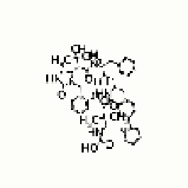 COc1ccccc1CN1C(=O)NCC1C(C(=O)NC(Cc1ccccc1)C(O)CC(Cc1ccc(-c2ccccn2)cc1)NC(=O)CC(C)(C)CNC(=O)O)C(C)(C)C